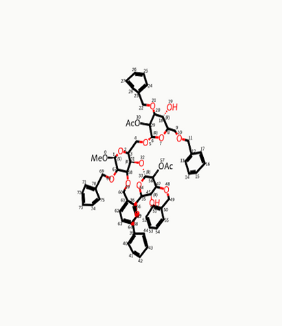 CO[C@H]1OC(CO[C@@H]2OC(COCc3ccccc3)[C@@H](O)C(OCc3ccccc3)C2OC(C)=O)[C@@H](O[C@H]2OC(COCc3ccccc3)[C@@H](O)C(OCc3ccccc3)C2OC(C)=O)C(OCc2ccccc2)C1OCc1ccccc1